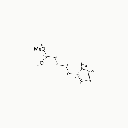 COC(=O)CCCCc1ccc[nH]1